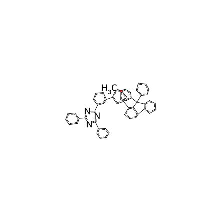 Cc1ccc(C2(c3ccccc3)c3ccccc3-c3cccc(-c4cccc(-c5cccc(-c6nc(-c7ccccc7)nc(-c7ccccc7)n6)c5)c4)c32)cc1